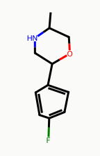 CC1COC(c2ccc(F)cc2)CN1